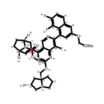 COCOc1cc(-c2ncc3c(C4=C[C@@H]5CC[C@H](C4)N5C(=O)OC(C)(C)C)nc(OC[C@@]45CCCN4C[C@H](F)C5)nc3c2F)c2c(F)c(F)ccc2c1